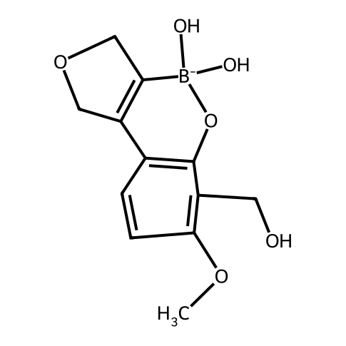 COc1ccc2c(c1CO)O[B-](O)(O)C1=C2COC1